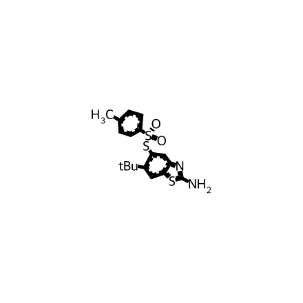 Cc1ccc(S(=O)(=O)Sc2cc3nc(N)sc3cc2C(C)(C)C)cc1